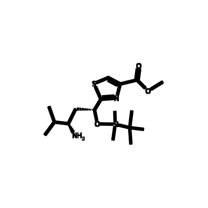 COC(=O)c1csc([C@@H](C[C@@H](N)C(C)C)O[Si](C)(C)C(C)(C)C)n1